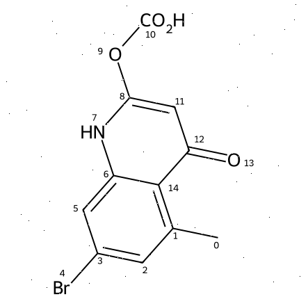 Cc1cc(Br)cc2[nH]c(OC(=O)O)cc(=O)c12